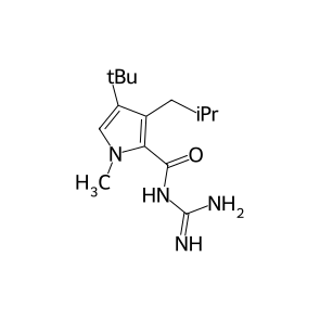 CC(C)Cc1c(C(C)(C)C)cn(C)c1C(=O)NC(=N)N